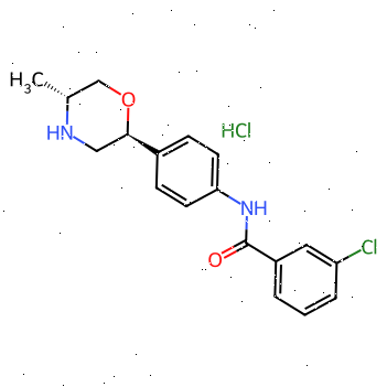 C[C@@H]1CO[C@@H](c2ccc(NC(=O)c3cccc(Cl)c3)cc2)CN1.Cl